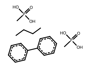 CCCC.CP(=O)(O)O.CP(=O)(O)O.c1ccc(-c2ccccc2)cc1